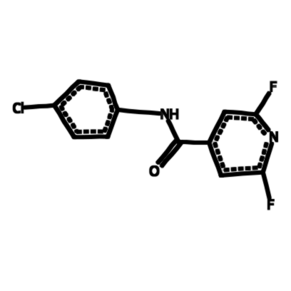 O=C(Nc1ccc(Cl)cc1)c1cc(F)nc(F)c1